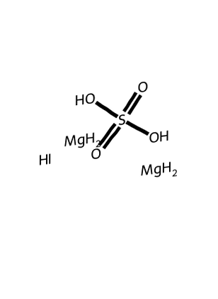 I.O=S(=O)(O)O.[MgH2].[MgH2]